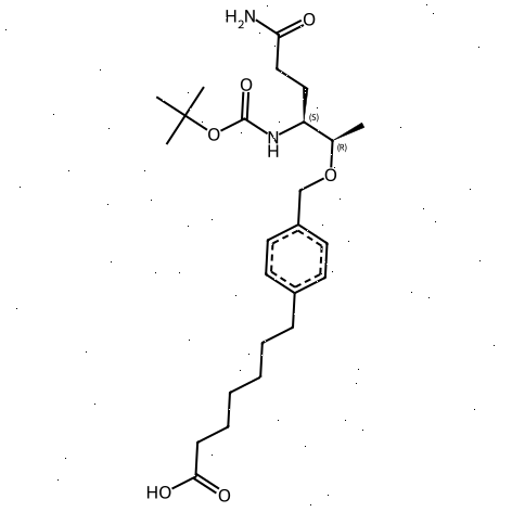 C[C@@H](OCc1ccc(CCCCCCC(=O)O)cc1)[C@H](CCC(N)=O)NC(=O)OC(C)(C)C